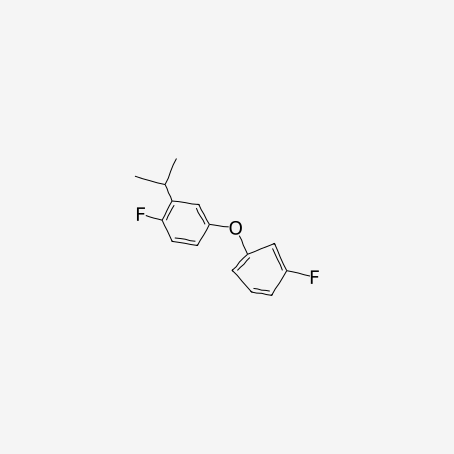 CC(C)c1cc(Oc2cccc(F)c2)ccc1F